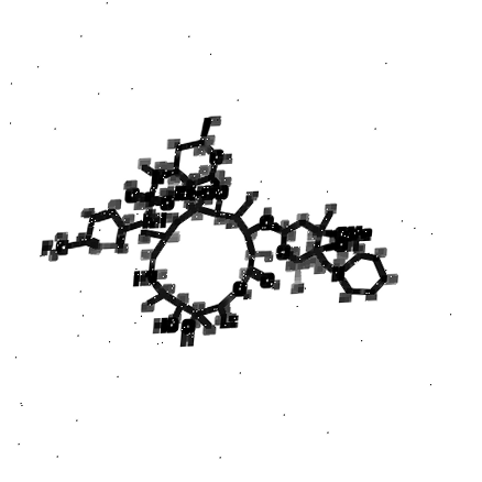 CCC1OC(=O)C(C)C(O[C@H]2C[C@@](C)(OC)[C@](O)(CN3CCCCC3)[C@H](C)O2)C(C)C(O[C@@H]2O[C@H](C)C[C@H](N(C)S(=O)(=O)Nc3ccc(C(F)(F)F)cc3)[C@H]2O)C(C)(O)CC(C)CNC(C)C(O)C1(C)O